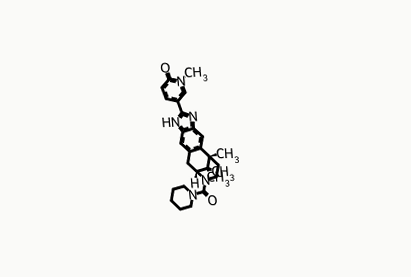 Cn1cc(-c2nc3cc4c(cc3[nH]2)C[C@H]2N(C(=O)N3CCCCC3)CC[C@]4(C)C2(C)C)ccc1=O